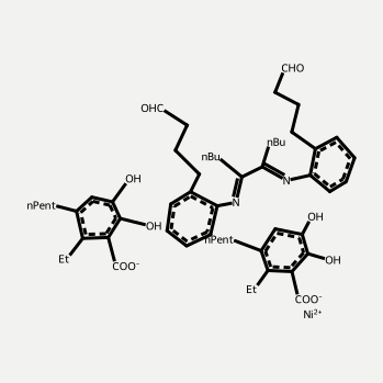 CCCCC(=Nc1ccccc1CCCC=O)C(CCCC)=Nc1ccccc1CCCC=O.CCCCCc1cc(O)c(O)c(C(=O)[O-])c1CC.CCCCCc1cc(O)c(O)c(C(=O)[O-])c1CC.[Ni+2]